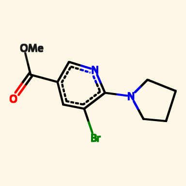 COC(=O)c1cnc(N2CCCC2)c(Br)c1